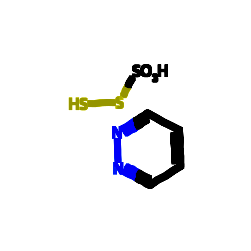 O=S(=O)(O)SS.c1ccnnc1